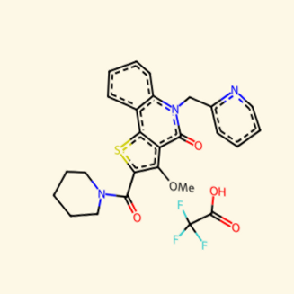 COc1c(C(=O)N2CCCCC2)sc2c1c(=O)n(Cc1ccccn1)c1ccccc21.O=C(O)C(F)(F)F